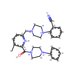 Cc1ccc(CN2CCN(c3ccccc3C#N)CC2)nc1C(=O)N1CCN(c2ccccc2)CC1